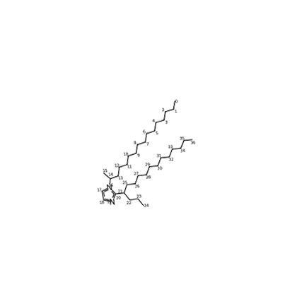 CCCCCCCCCCCCCCC(C)n1ccnc1C(CCC)CCCCCCCCCCCC